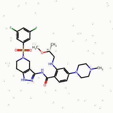 CO[C@H](C)CNc1cc(N2CCN(C)CC2)ccc1C(=O)Nc1n[nH]c2c1CN(S(=O)(=O)c1cc(F)cc(F)c1)CC2